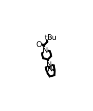 CN1C2CCC1CN(C1CCN(C(=O)CC(C)(C)C)CC1)C2